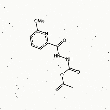 C=C(C)OC(=O)NNC(=O)c1cccc(OC)n1